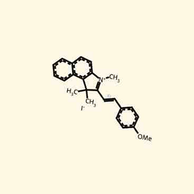 COc1ccc(/C=C/C2=[N+](C)c3ccc4ccccc4c3C2(C)C)cc1.[I-]